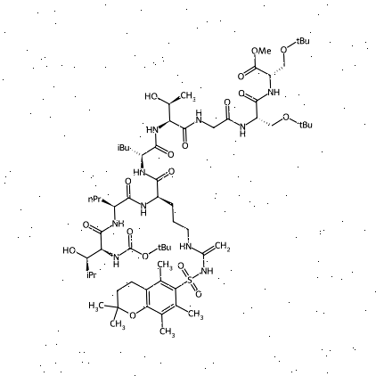 C=C(NCCC[C@@H](NC(=O)[C@H](CCC)NC(=O)[C@@H](NC(=O)OC(C)(C)C)[C@H](O)C(C)C)C(=O)N[C@H](C(=O)N[C@H](C(=O)NCC(=O)N[C@@H](COC(C)(C)C)C(=O)N[C@@H](COC(C)(C)C)C(=O)OC)[C@H](C)O)[C@@H](C)CC)NS(=O)(=O)c1c(C)c(C)c2c(c1C)CCC(C)(C)O2